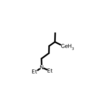 CCN(CC)CCC[CH](C)[GeH3]